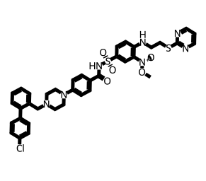 CO[N+](=O)c1cc(S(=O)(=O)NC(=O)c2ccc(N3CCN(Cc4ccccc4-c4ccc(Cl)cc4)CC3)cc2)ccc1NCCSc1ncccn1